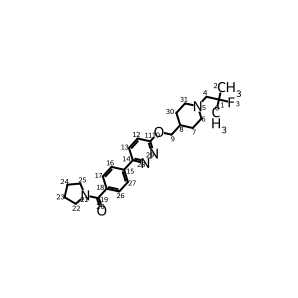 CC(C)(F)CN1CCC(COc2ccc(-c3ccc(C(=O)N4CCCC4)cc3)nn2)CC1